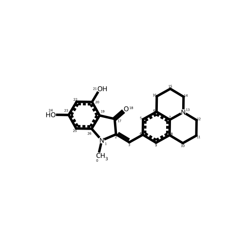 CN1C(=Cc2cc3c4c(c2)CCCN4CCC3)C(=O)c2c(O)cc(O)cc21